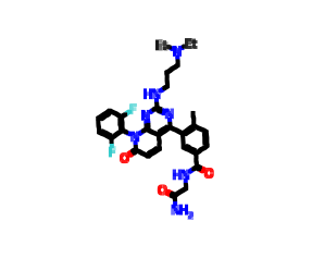 CCN(CC)CCCNc1nc(-c2cc(C(=O)NCC(N)=O)ccc2C)c2ccc(=O)n(-c3c(F)cccc3F)c2n1